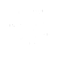 Nc1c(I)c(C(=O)O)c(I)c(C(O)O)c1I